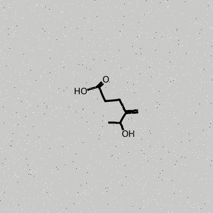 C=C(CCC(=O)O)C(C)O